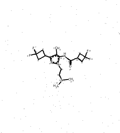 Cc1c(C2CC(F)(F)C2)nn(CCN(C)C)c1NC(=O)C1CC(F)(F)C1